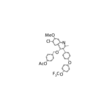 COc1cc2nc(C)c(-c3ccc(Oc4ccc(OC(F)(F)F)cc4)cc3)c(OCc3ccc(OC(C)=O)cc3)c2cc1Cl